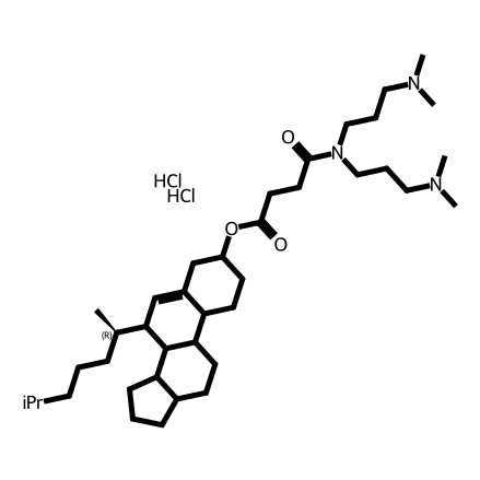 CC(C)CCC[C@@H](C)C1C=C2CC(OC(=O)CCC(=O)N(CCCN(C)C)CCCN(C)C)CCC2C2CCC3CCCC3C21.Cl.Cl